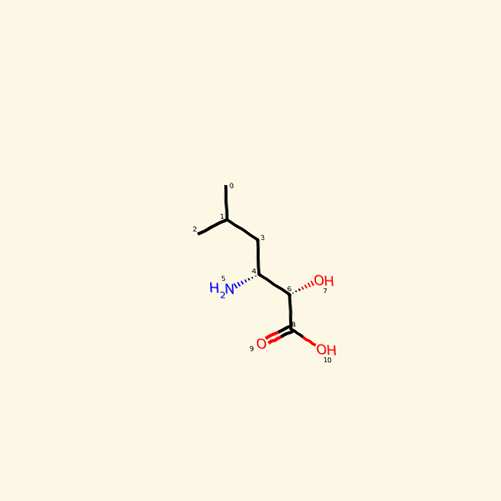 CC(C)C[C@@H](N)[C@H](O)C(=O)O